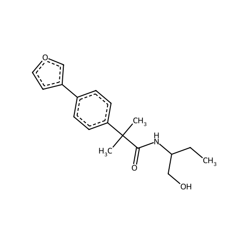 CCC(CO)NC(=O)C(C)(C)c1ccc(-c2ccoc2)cc1